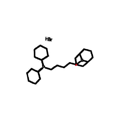 Br.C1CCC(P(CCCCCB2C3CCCC2CCC3)C2CCCCC2)CC1